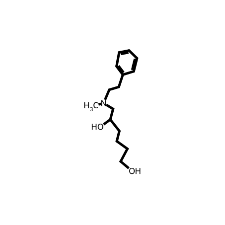 CN(CCc1ccccc1)CC(O)CCCCO